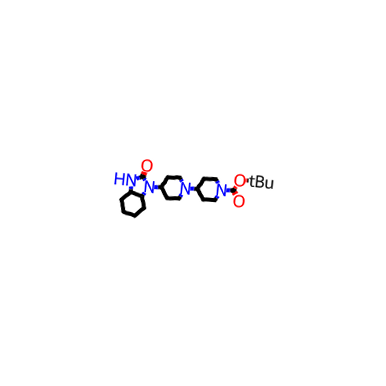 CC(C)(C)OC(=O)N1CCC(N2CCC(N3C(=O)NC4CCCCC43)CC2)CC1